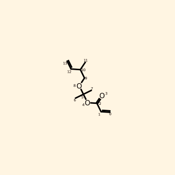 C=CC(=O)OC(C)(C)OCC(C)C=C